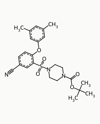 Cc1cc(C)cc(Oc2ccc(C#N)cc2S(=O)(=O)N2CCN(C(=O)OC(C)(C)C)CC2)c1